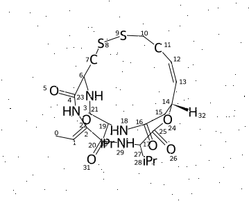 CC=C1NC(=O)C2CSSCCC=C[C@@H](CC(=O)NC(C(C)C)C(=O)N2)OC(=O)C(C(C)C)NC1=O